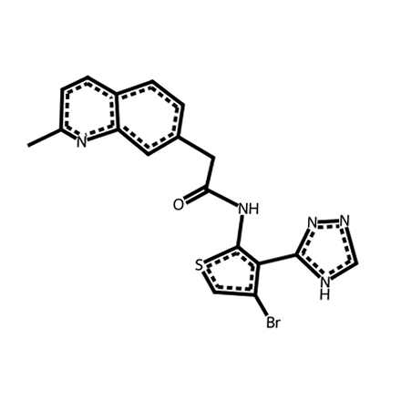 Cc1ccc2ccc(CC(=O)Nc3scc(Br)c3-c3nnc[nH]3)cc2n1